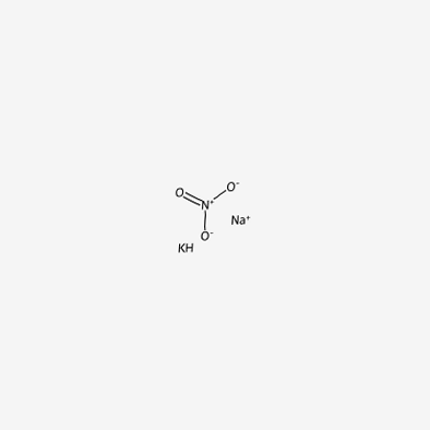 O=[N+]([O-])[O-].[KH].[Na+]